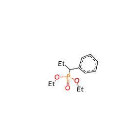 CCOP(=O)(OCC)C(CC)c1ccccc1